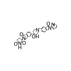 O=C1CCC(N2Cc3cc(C4(O)CCN(Cc5ccc6c(c5)C(=O)N(c5ccccn5)C6)CC4)ccc3C2=O)C(=O)N1